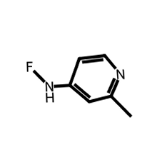 Cc1cc(NF)ccn1